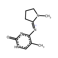 Cc1c[nH]c(=O)nc1/N=C1\CCCN1C